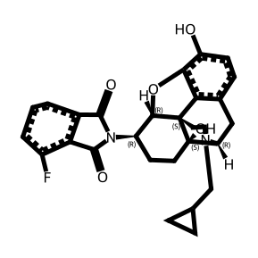 O=C1c2cccc(F)c2C(=O)N1[C@@H]1CC[C@@]2(O)[C@H]3Cc4ccc(O)c5c4[C@@]2(CCN3CC2CC2)[C@H]1O5